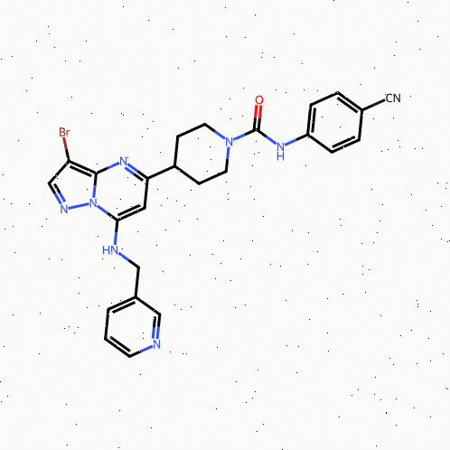 N#Cc1ccc(NC(=O)N2CCC(c3cc(NCc4cccnc4)n4ncc(Br)c4n3)CC2)cc1